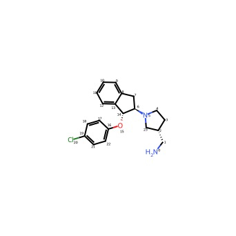 NC[C@H]1CCN([C@@H]2Cc3ccccc3[C@H]2Oc2ccc(Cl)cc2)C1